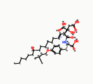 CCCCCCC(=O)CCCCCC/C=C/[C@H](C(=O)N[C@@H](Cc1ccc(OCCC(C)C)cc1)C(=O)O)C(O)(CC(=O)O)C(=O)O